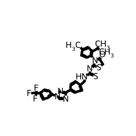 Cc1ccc(N2C(=O)CS/C2=N\C(=S)NCc2ccc(-c3ncn(-c4ccc(C(F)(F)F)cc4)n3)cc2)c(C(C)C)c1